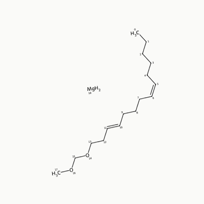 CCCCC/C=C\CCC/C=C/CCOCOC.[MgH2]